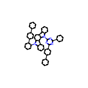 c1ccc(-c2ccc(-c3nc(-c4ccccc4)nc(-n4c5ccccc5c5ccc6c(c7ccccc7n6-c6ccccc6-c6ccc(-c7ccccc7)cc6)c54)n3)cc2)cc1